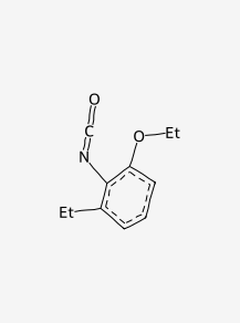 CCOc1cccc(CC)c1N=C=O